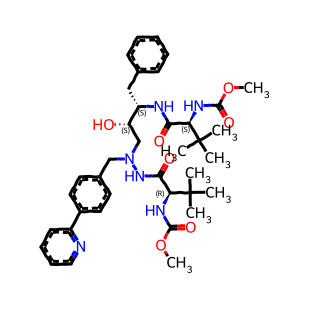 COC(=O)N[C@H](C(=O)N[C@@H](Cc1ccccc1)[C@@H](O)CN(Cc1ccc(-c2ccccn2)cc1)NC(=O)[C@H](NC(=O)OC)C(C)(C)C)C(C)(C)C